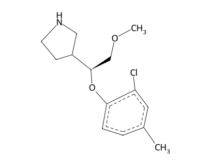 COC[C@@H](Oc1ccc(C)cc1Cl)C1CCNC1